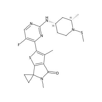 CSN1CC[C@H](Nc2ncc(F)c(-c3sc4c(c3C)C(=O)N(C)C43CC3)n2)C[C@@H]1C